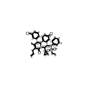 C=CCC1=C(C)[C@H](c2cccc(Cl)c2)[C@@H](c2ccc(Cl)cc2)N(C(CN(c2ccccc2)S(=O)(=O)CC)C2CC2)C1=O